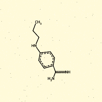 CCCNc1ccc(C(=N)N)cc1